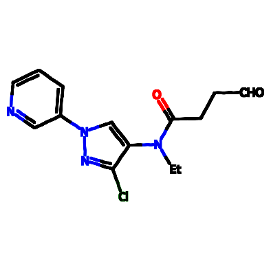 CCN(C(=O)CCC=O)c1cn(-c2cccnc2)nc1Cl